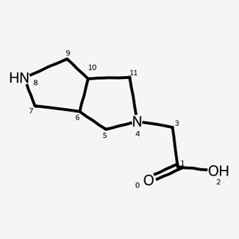 O=C(O)CN1CC2CNCC2C1